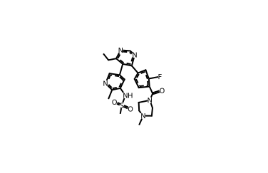 CCc1ncnc(-c2ccc(C(=O)N3CCN(C)CC3)c(F)c2)c1-c1cnc(C)c(NS(C)(=O)=O)c1